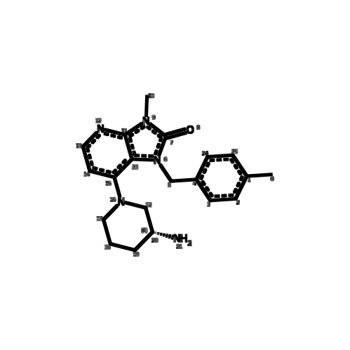 Cc1ccc(Cn2c(=O)n(C)c3nccc(N4CCC[C@@H](N)C4)c32)cc1